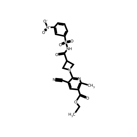 CCOC(=O)c1cc(C#N)c(N2CC(C(=O)NS(=O)(=O)c3cccc([N+](=O)[O-])c3)C2)nc1C